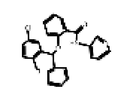 O=C(Nc1cccnc1)c1ccccc1OC(c1ccccc1)c1cc(Cl)ccc1Cl